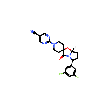 N#Cc1cnc(N2CCC3(CC2)O[C@@H]2CC[C@@H](c4cc(F)cc(F)c4)N2C3=O)nc1